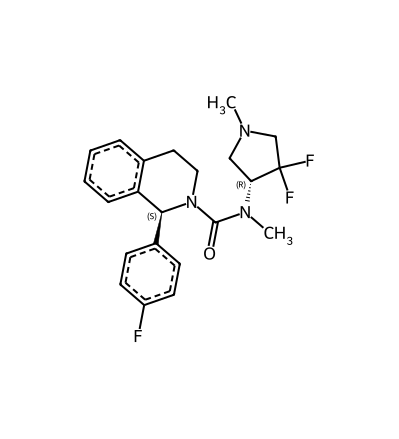 CN1C[C@@H](N(C)C(=O)N2CCc3ccccc3[C@@H]2c2ccc(F)cc2)C(F)(F)C1